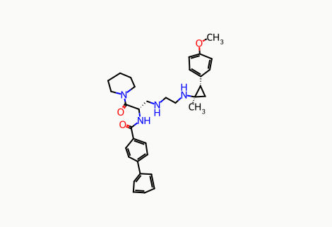 COc1ccc([C@@H]2C[C@@]2(C)NCCNC[C@H](NC(=O)c2ccc(-c3ccccc3)cc2)C(=O)N2CCCCC2)cc1